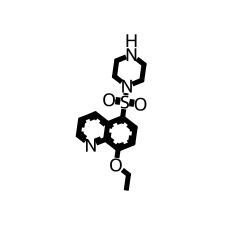 CCOc1ccc(S(=O)(=O)N2CCNCC2)c2cccnc12